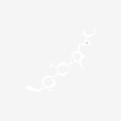 C#CCN1CCN(c2ccc(N3C[C@H](CNC(=O)CF)OC3=O)cc2F)C=N1